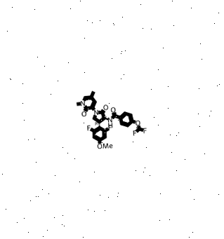 COc1cc(F)c([C@@H]2CN(c3cc(C)cn(C)c3=O)C(=O)[C@H]2NC(=O)c2ccc(OC(F)F)cc2)c(F)c1